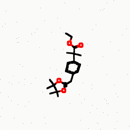 CCOC(=O)C(C)(C)c1ccc(CB2OC(C)(C)C(C)(C)O2)cc1